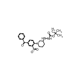 CC(C)(C)OC(=O)NNC1CCCN(c2ccc(C(=O)c3ccccc3)cc2[N+](=O)[O-])C1